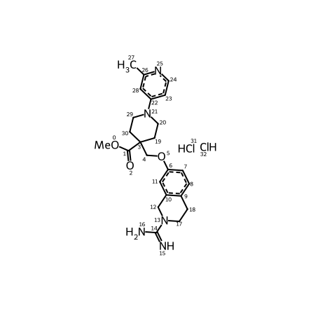 COC(=O)C1(COc2ccc3c(c2)CN(C(=N)N)CC3)CCN(c2ccnc(C)c2)CC1.Cl.Cl